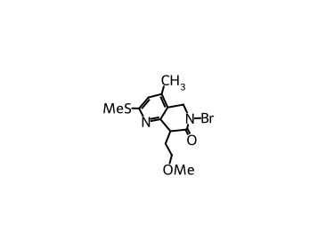 COCCC1C(=O)N(Br)Cc2c(C)cc(SC)nc21